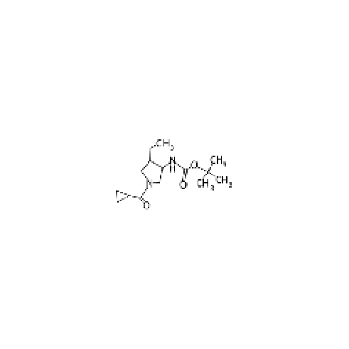 CCC1CN(C(=O)C2CC2)CC1NC(=O)OC(C)(C)C